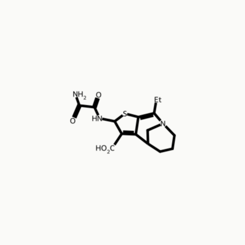 CCC1=C2SC(NC(=O)C(N)=O)C(C(=O)O)=C2C2CCCN1C2